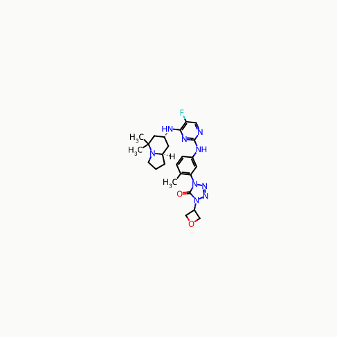 Cc1ccc(Nc2ncc(F)c(N[C@@H]3C[C@H]4CCCN4C(C)(C)C3)n2)cc1-n1nnn(C2COC2)c1=O